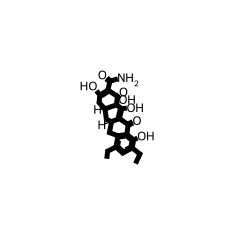 CCc1cc(CC)c2c(c1O)C(=O)C1=C(O)[C@]3(O)C(=O)C(C(N)=O)=C(O)C[C@@H]3C[C@@H]1C2